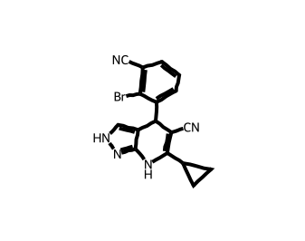 N#CC1=C(C2CC2)Nc2n[nH]cc2C1c1cccc(C#N)c1Br